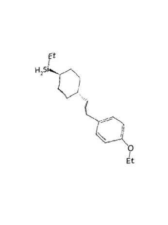 CCOc1ccc(CC[C@H]2CC[C@H]([SiH2]CC)CC2)cc1